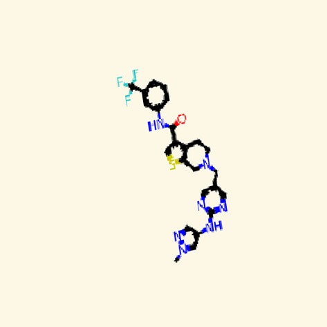 Cn1cc(Nc2ncc(CN3CCc4c(C(=O)Nc5cccc(C(F)(F)F)c5)csc4C3)cn2)cn1